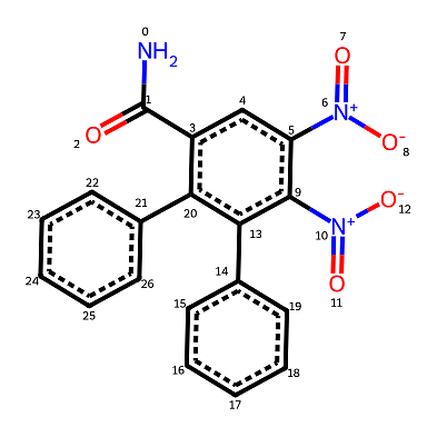 NC(=O)c1cc([N+](=O)[O-])c([N+](=O)[O-])c(-c2ccccc2)c1-c1ccccc1